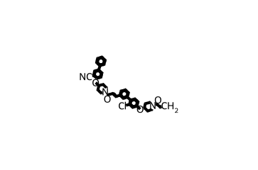 C=CC(=O)N1CCC(Oc2ccc(-c3cccc(/C=C/C(=O)N4CCC(Oc5ccc(-c6ccccc6)cc5C#N)CC4)c3)c(Cl)c2)CC1